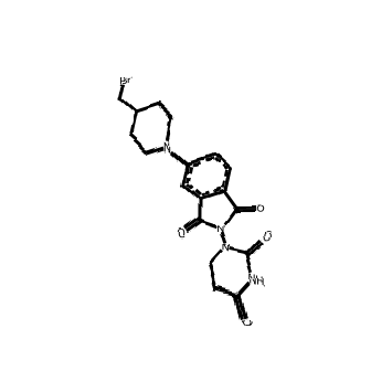 O=C1CCN(N2C(=O)c3ccc(N4CCC(CBr)CC4)cc3C2=O)C(=O)N1